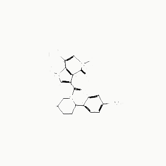 COc1ccc(C2CCCCN2C(=O)c2cn(C)c3c(C)cn(C)c(=O)c23)cc1